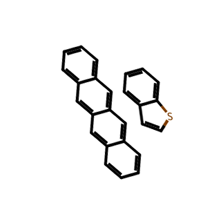 c1ccc2cc3cc4ccccc4cc3cc2c1.c1ccc2sccc2c1